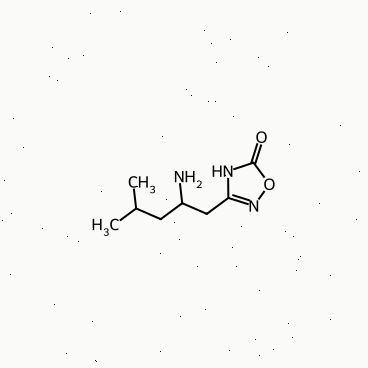 CC(C)CC(N)Cc1noc(=O)[nH]1